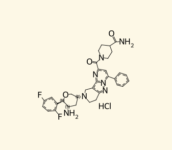 Cl.NC(=O)C1CCN(C(=O)c2cc(-c3ccccc3)n3nc4c(c3n2)CN([C@H]2CO[C@H](c3cc(F)ccc3F)[C@@H](N)C2)CC4)CC1